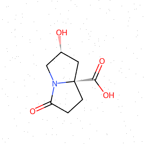 O=C1CC[C@]2(C(=O)O)C[C@@H](O)CN12